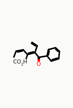 C=C/C(C(=O)c1ccccc1)=C(\C=C/C)C(=O)O